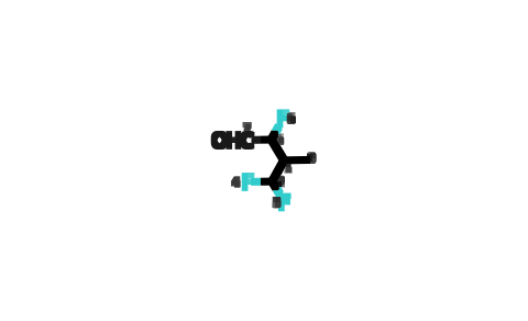 CC(C(F)F)C(F)C=O